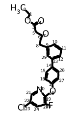 CCOC(=O)CC(=O)Cc1cccc(-c2ccc(Oc3ncc(Cl)cc3F)cc2)c1